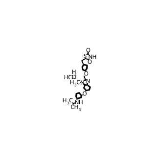 CC(C)Nc1cccc(Oc2ccc3nc(COc4ccc(CC5SC(=O)NC5=O)cc4)n(C)c3c2)c1.Cl.Cl